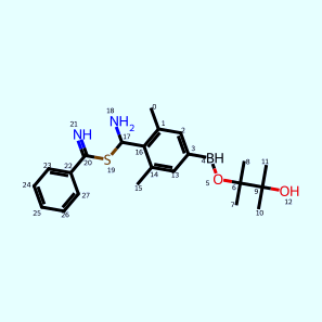 Cc1cc(BOC(C)(C)C(C)(C)O)cc(C)c1C(N)SC(=N)c1ccccc1